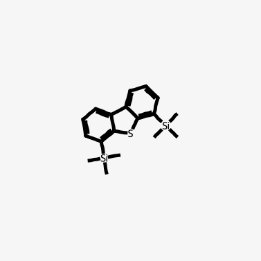 C[Si](C)(C)c1cccc2c1sc1c([Si](C)(C)C)cccc12